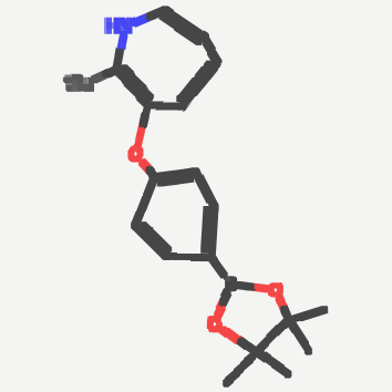 CC(C)(C)C1=C(Oc2ccc(B3OC(C)(C)C(C)(C)O3)cc2)C=CC=CN1